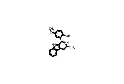 COc1ccc(O)c([C@H]2N[C@@H](C)Cc3c2[nH]c2ccccc32)c1